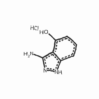 Cl.Nc1n[nH]c2cccc(O)c12